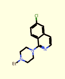 CCN1CCN(c2nccc3cc(Cl)ccc23)CC1